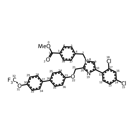 COC(=O)c1ccc(Cn2cc(-c3ccc(Cl)cc3Cl)nc2COc2ccc(-c3ccc(OC(F)(F)F)cc3)cc2)cc1